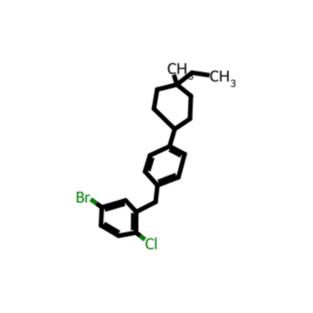 CCC1(C)CCC(c2ccc(Cc3cc(Br)ccc3Cl)cc2)CC1